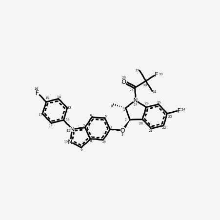 C[C@H]1[C@H](Oc2ccc3c(cnn3-c3ccc(F)cc3)c2)c2ccc(F)cc2N1C(=O)C(C)(C)F